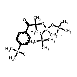 CC(C)(O[Si](C)(O[Si](C)(C)C)O[Si](C)(C)C)C(=O)c1ccc([Si](C)(C)C)cc1